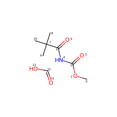 COC(=O)NC(=O)C(C)(C)C.O=CO